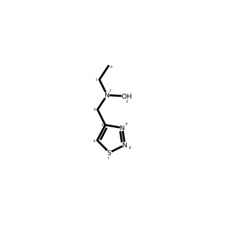 CCN(O)Cc1csnn1